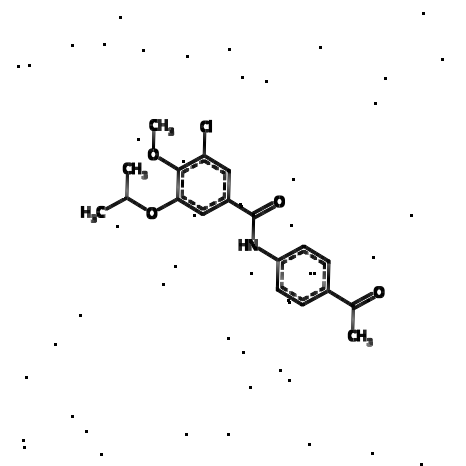 COc1c(Cl)cc(C(=O)Nc2ccc(C(C)=O)cc2)cc1OC(C)C